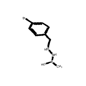 CB(O)NNCc1ccc(Br)cc1